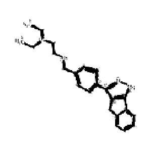 CCN(CC)CCNCc1ccc(-c2n[nH]c3c2Cc2ccccc2-3)cc1